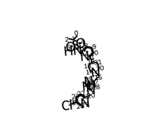 CC(C)S(=O)(=O)Nc1cccc(C2CCN(Cc3cn(Cc4ccc(Cl)cn4)nn3)CC2)n1